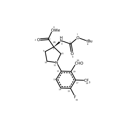 COC(=O)[C@@]1(NC(=O)OC(C)(C)C)CCN(c2ccc(F)c(C(F)(F)F)c2C=O)C1